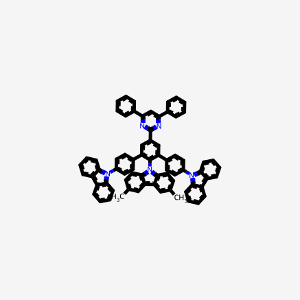 Cc1ccc2c(c1)c1cc(C)ccc1n2-c1c(-c2ccc(-n3c4ccccc4c4ccccc43)cc2)cc(-c2nc(-c3ccccc3)cc(-c3ccccc3)n2)cc1-c1ccc(-n2c3ccccc3c3ccccc32)cc1